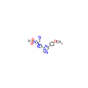 COc1ccc(-c2cc3nccn3c(-c3cnn(C4(CC#N)CN(S(=O)(=O)C5CC5)C4)c3)n2)cc1